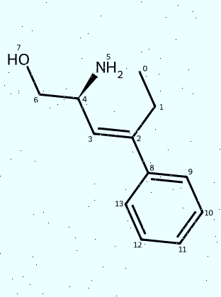 CCC(=C[C@H](N)CO)c1ccccc1